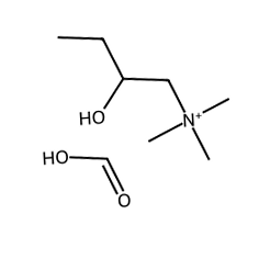 CCC(O)C[N+](C)(C)C.O=CO